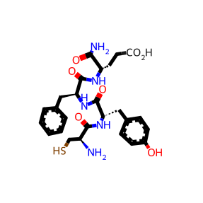 NC(=O)[C@H](CCC(=O)O)NC(=O)[C@H](Cc1ccccc1)NC(=O)[C@H](Cc1ccc(O)cc1)NC(=O)[C@@H](N)CS